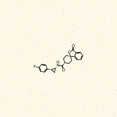 O=C1O[C@]2(CC[C@H](C(=O)N[C@@H]3C[C@H]3c3ccc(F)cc3)CC2)c2ccccc21